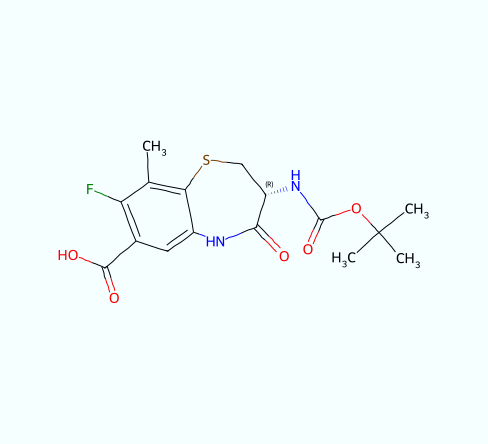 Cc1c(F)c(C(=O)O)cc2c1SC[C@H](NC(=O)OC(C)(C)C)C(=O)N2